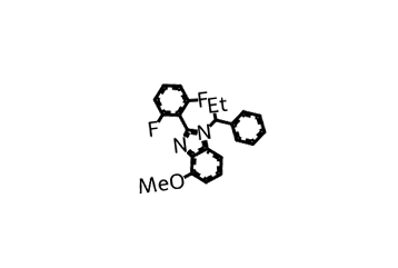 CCC(c1ccccc1)n1c(-c2c(F)cccc2F)nc2c(OC)cccc21